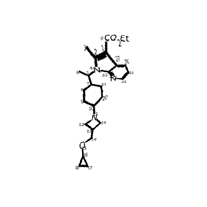 CCOC(=O)c1c(C)n(C(C)C2CCC(N3CC(COC4CC4)C3)CC2)c2ncccc12